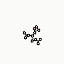 c1ccc(-c2ccccc2-n2c3ccccc3c3cc(-c4cc(-c5ccc6c(c5)c5ccccc5n6-c5ccccc5)cc(-n5c6ccccc6c6cc(N(c7ccccc7)c7ccccc7)ccc65)c4)ccc32)cc1